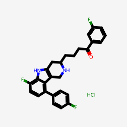 Cl.O=C(CCCC1Cc2[nH]c3c(F)ccc(-c4ccc(F)cc4)c3c2CN1)c1cccc(F)c1